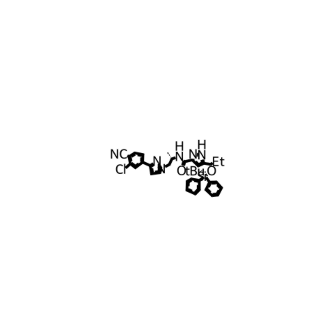 CCC(O[Si](c1ccccc1)(c1ccccc1)C(C)(C)C)c1cc(C(=O)N[C@@H](C)Cn2ccc(-c3ccc(C#N)c(Cl)c3)n2)n[nH]1